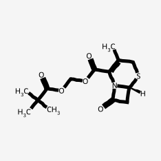 CC1=C(C(=O)OCOC(=O)C(C)(C)C)N2C(=O)C[C@H]2SC1